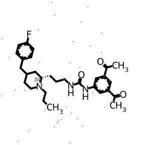 CCCN1CCC(Cc2ccc(F)cc2)C[C@@H]1CCCNC(=O)Nc1cc(C(C)=O)cc(C(C)=O)c1